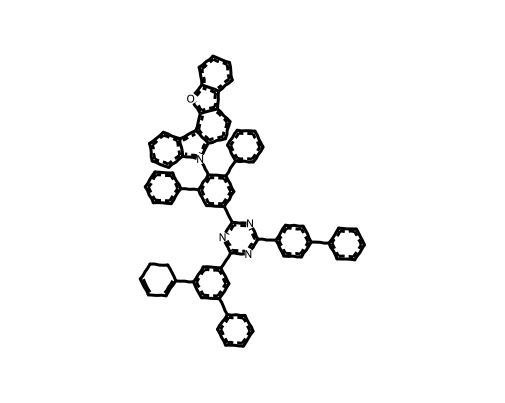 C1=CCCC(c2cc(-c3ccccc3)cc(-c3nc(-c4ccc(-c5ccccc5)cc4)nc(-c4cc(-c5ccccc5)c(-n5c6ccccc6c6c7oc8ccccc8c7ccc65)c(-c5ccccc5)c4)n3)c2)=C1